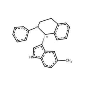 Cc1ccc2[nH]cc([C@H]3c4ccccc4CCN3c3ccccc3)c2c1